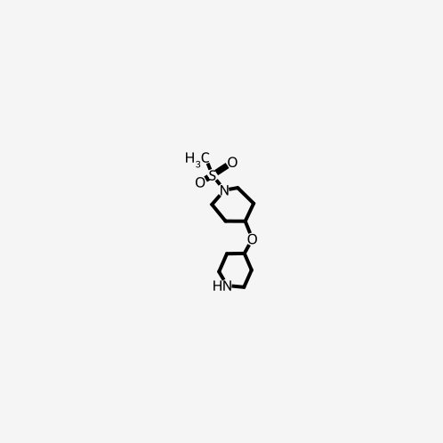 CS(=O)(=O)N1CCC(OC2CCNCC2)CC1